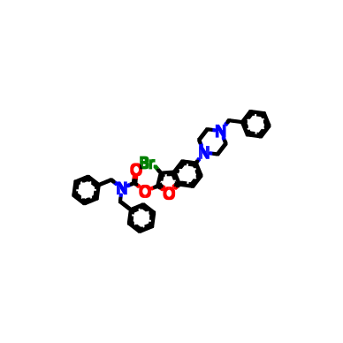 O=C(Oc1oc2ccc(N3CCN(Cc4ccccc4)CC3)cc2c1Br)N(Cc1ccccc1)Cc1ccccc1